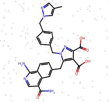 Cc1cnn(Cc2ccc(Cn3nc(C(=O)O)c(C(=O)O)c3Cc3ccc4c(N)ncc(C(N)=O)c4c3)cc2)c1